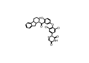 O=C(c1cc(Oc2c(Cl)cc(-n3ncc(=O)[nH]c3=O)cc2Cl)ccc1O)N1CCCC2c3ccccc3CC21